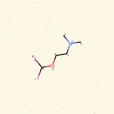 CN(C)CCOC(I)I